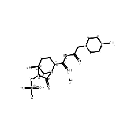 CN1CCN(CC(=O)NC(=N)[C@@H]2CC[C@@H]3CN2C(=O)N3OS(=O)(=O)[O-])CC1.[Na+]